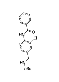 CCCCNCc1cnc(NC(=O)c2ccccc2)c(Cl)c1